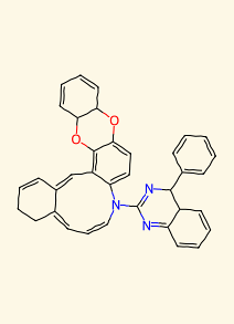 C1=CC2=NC(n3cccc4c(cc5c6c(ccc53)OC3C=CC=CC3O6)C=CCC4)=NC(c3ccccc3)C2C=C1